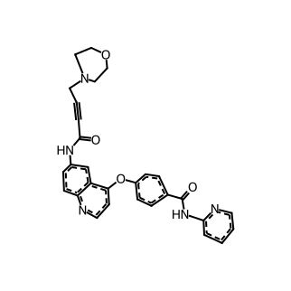 O=C(C#CCN1CCOCC1)Nc1ccc2nccc(Oc3ccc(C(=O)Nc4ccccn4)cc3)c2c1